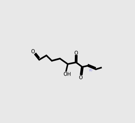 C/C=C/C(=O)C(=O)C(O)CCCC=O